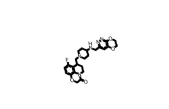 O=C1COc2ccc(F)c3c2N1CCC3CN1CCC(NCc2cc3c(nn2)OCCO3)CC1